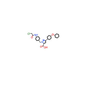 O=C(CCl)Nc1ccc(Cn2nc(-c3ccc(Oc4ccccc4)cc3)cc2C(=O)O)cc1